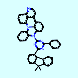 CC1(C)c2ccccc2-c2c(-c3nc(-c4ccccc4)nc(-n4c5cccc6c5-n(c5cccc7nccc6c75)c5ccccc54)n3)cccc21